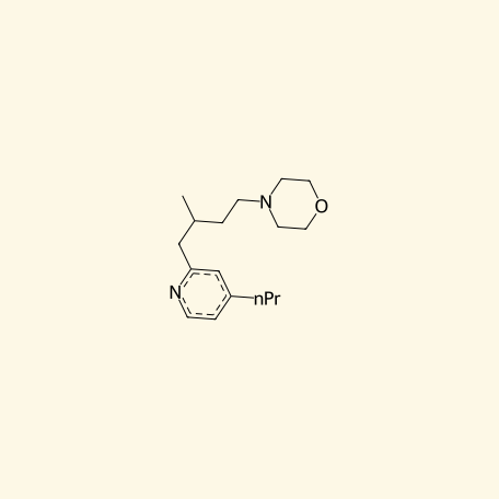 CCCc1ccnc(CC(C)CCN2CCOCC2)c1